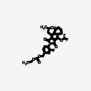 CCOC(=O)OCc1ccc(N2C(=O)c3c(c(OC(F)F)c4ccccc4c3CC(C)C)C2=O)c(F)c1